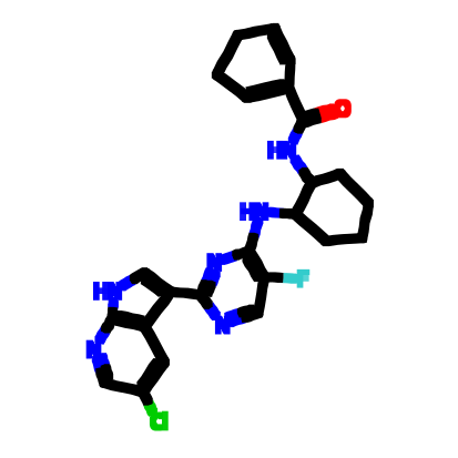 O=C(NC1CCCCC1Nc1nc(-c2c[nH]c3ncc(Cl)cc23)ncc1F)C1=CCCC=C1